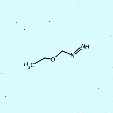 CCOCN=N